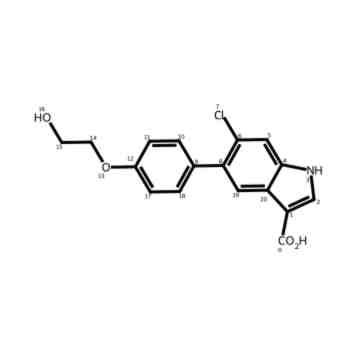 O=C(O)c1c[nH]c2cc(Cl)c(-c3ccc(OCCO)cc3)cc12